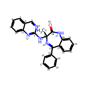 CC1(Nc2ncc3ccccc3n2)N=C(c2ccccc2)c2ccccc2NC1=O